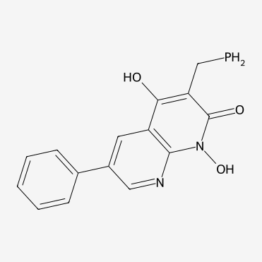 O=c1c(CP)c(O)c2cc(-c3ccccc3)cnc2n1O